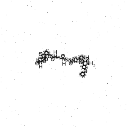 NC(=O)c1c(-c2ccc(Oc3ccccc3)cc2)nn2c1NCC[C@H]2C1CCN(C(=O)CCCNC(=O)CCCNC(=O)COc2cccc3c2C(=O)N(C2CCC(=O)NC2=O)C3=O)CC1